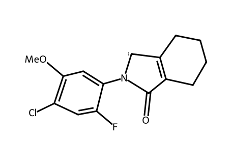 COc1cc(N2[C]C3=C(CCCC3)C2=O)c(F)cc1Cl